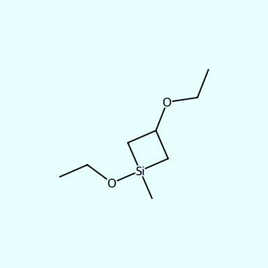 CCOC1C[Si](C)(OCC)C1